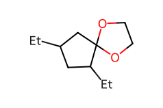 CCC1CC(CC)C2(C1)OCCO2